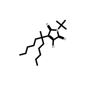 CCCCCC(C)(CCCCC)C1=C(Cl)C(=O)N(C(C)(C)C)C1=O